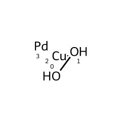 OO.[Cu].[Pd]